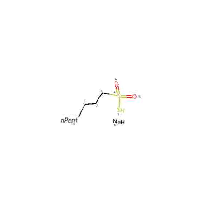 CCCCCCCCS(=O)(=O)S.[NaH]